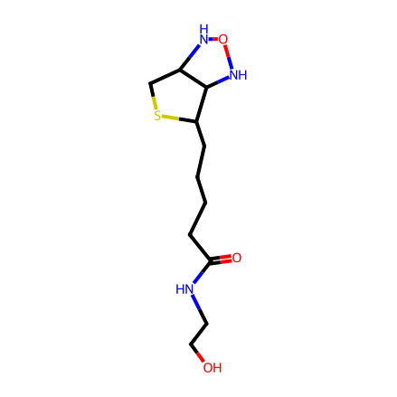 O=C(CCCCC1SCC2NONC21)NCCO